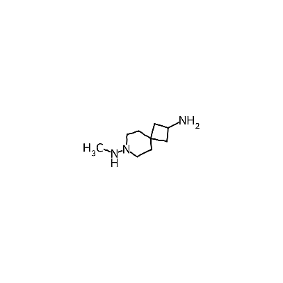 CNN1CCC2(CC1)CC(N)C2